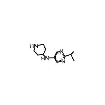 CC(C)c1ncc(NC2CCNCC2)cn1